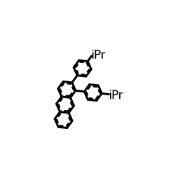 CC(C)c1ccc(-c2ccc3cc4ccccc4cc3c2-c2ccc(C(C)C)cc2)cc1